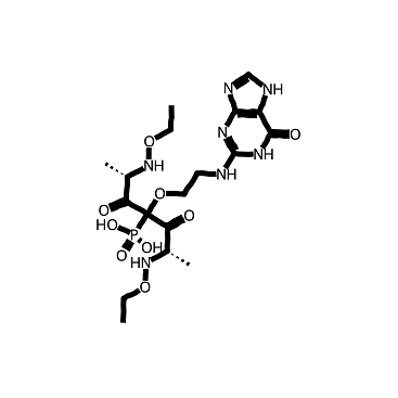 CCON[C@@H](C)C(=O)C(OCCNc1nc2nc[nH]c2c(=O)[nH]1)(C(=O)[C@H](C)NOCC)P(=O)(O)O